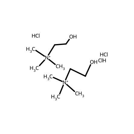 C[N+](C)(C)CCO.C[N+](C)(C)CCO.Cl.Cl.Cl